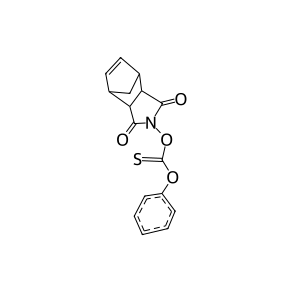 O=C1C2C3C=CC(C3)C2C(=O)N1OC(=S)Oc1ccccc1